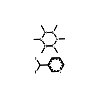 CB1N(C)B(C)N(C)B(C)N1C.FC(F)c1cccnc1